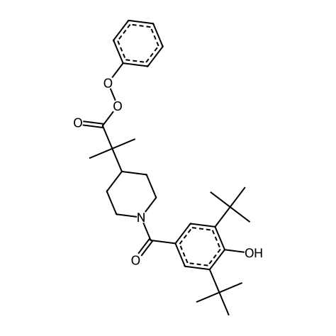 CC(C)(C)c1cc(C(=O)N2CCC(C(C)(C)C(=O)OOc3ccccc3)CC2)cc(C(C)(C)C)c1O